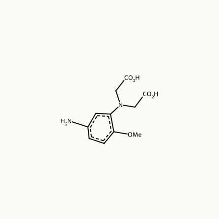 COc1ccc(N)cc1N(CC(=O)O)CC(=O)O